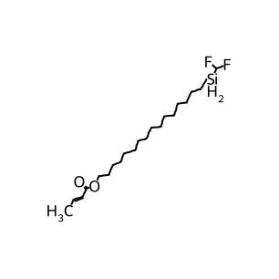 CC=CC(=O)OCCCCCCCCCCCCCCCCC[SiH2]C(F)F